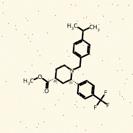 COC(=O)[C@@H]1CCN(Cc2ccc(C(C)C)cc2)[C@H](c2ccc(C(F)(F)F)cc2)C1